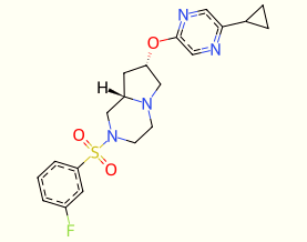 O=S(=O)(c1cccc(F)c1)N1CCN2C[C@@H](Oc3cnc(C4CC4)cn3)C[C@H]2C1